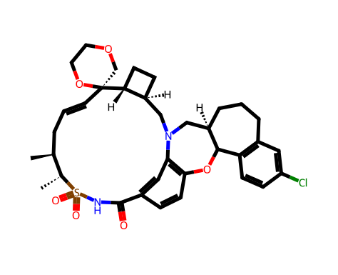 C[C@@H]1[C@@H](C)C/C=C/[C@]2(COCCO2)[C@@H]2CC[C@H]2CN2C[C@H]3CCCc4cc(Cl)ccc4C3Oc3ccc(cc32)C(=O)NS1(=O)=O